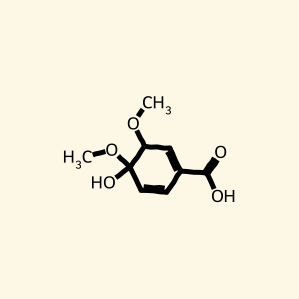 COC1C=C(C(=O)O)C=CC1(O)OC